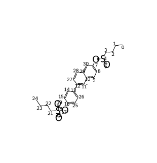 CCCCS(=O)Oc1ccc2[c]c(-c3ccc(OS(=O)(=O)CCCC)cc3)ccc2c1